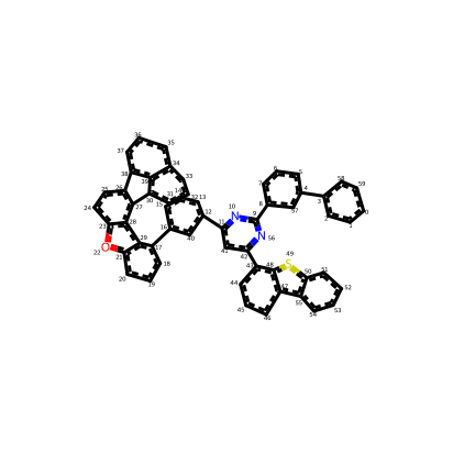 c1ccc(-c2cccc(-c3nc(-c4cccc(-c5cccc6oc7ccc8c(c7c56)-c5cccc6cccc-8c56)c4)cc(-c4cccc5c4sc4ccccc45)n3)c2)cc1